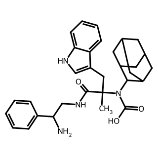 CC(Cc1c[nH]c2ccccc12)(C(=O)NCC(N)c1ccccc1)N(C(=O)O)C1C2CC3CC(C2)CC1C3